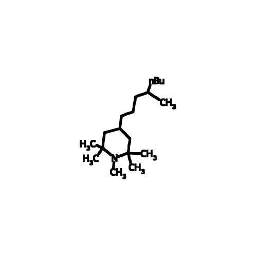 CCCCC(C)CCCC1CC(C)(C)N(C)C(C)(C)C1